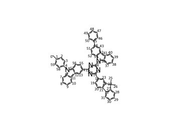 Cc1ccc(-n2c3ccccc3c3cc(-c4nc(-c5ccc6c(c5)C(C)(C)c5ccccc5-6)nc(-n5c6ccccc6c6cc(-c7ccccc7)ccc65)n4)ccc32)cc1